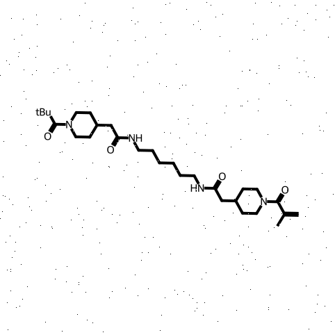 C=C(C)C(=O)N1CCC(CC(=O)NCCCCCCNC(=O)CC2CCN(C(=O)C(C)(C)C)CC2)CC1